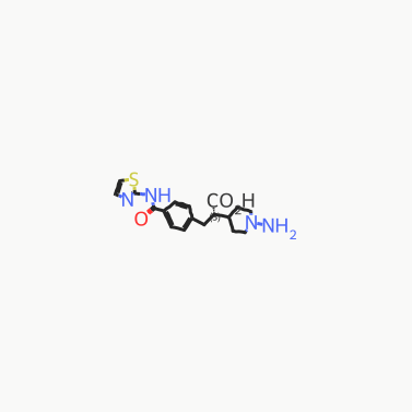 NN1CCC([C@H](Cc2ccc(C(=O)Nc3nccs3)cc2)C(=O)O)CC1